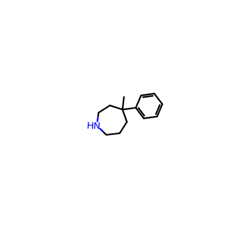 CC1(c2ccccc2)CCCNCC1